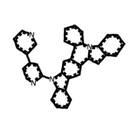 c1cncc(-c2ccnc(-n3c4ccccc4c4cc5c(cc43)c3ccccc3n3c4ccccc4cc53)c2)c1